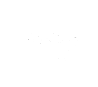 CCN(C)S(=O)(=O)NC(=O)c1ccc2c(C3CCCCC3)c3n(c2c1)CC(C(=O)N1CCOCC1)=Cc1ccccc1-3